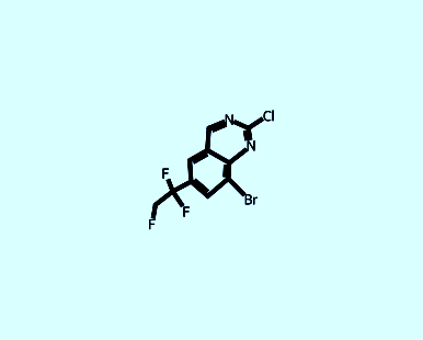 FCC(F)(F)c1cc(Br)c2nc(Cl)ncc2c1